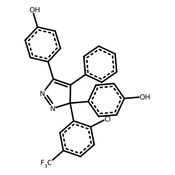 Oc1ccc(C2=C(c3ccccc3)C(c3ccc(O)cc3)(c3cc(C(F)(F)F)ccc3Cl)N=N2)cc1